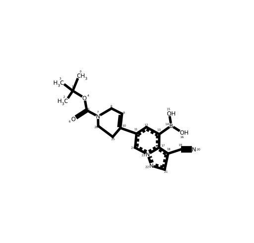 CC(C)(C)OC(=O)N1CC=C(c2cc(B(O)O)c3c(C#N)cnn3c2)CC1